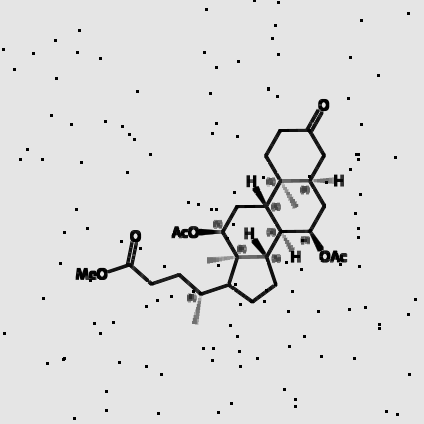 COC(=O)CC[C@@H](C)C1CC[C@H]2[C@@H]3[C@H](OC(C)=O)C[C@@H]4CC(=O)CC[C@]4(C)[C@H]3C[C@H](OC(C)=O)[C@]12C